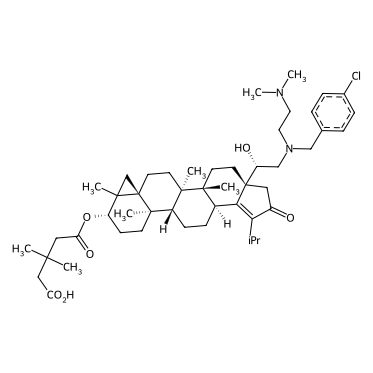 CC(C)C1=C2[C@H]3CC[C@@H]4[C@@]5(C)CC[C@H](OC(=O)CC(C)(C)CC(=O)O)C6(C)C[C@]65CC[C@@]4(C)[C@]3(C)CC[C@@]2([C@H](O)CN(CCN(C)C)Cc2ccc(Cl)cc2)CC1=O